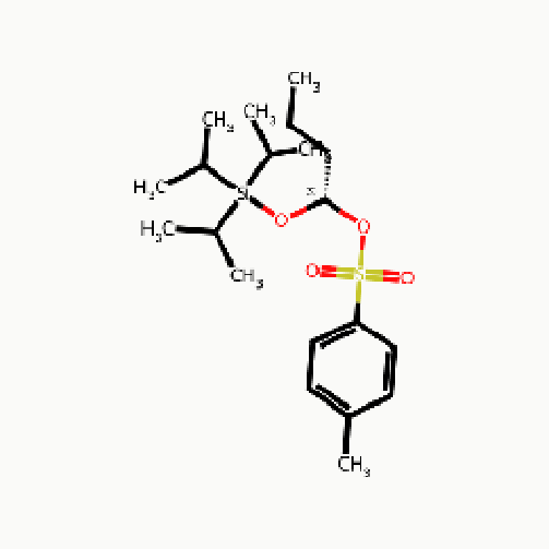 CCC[C@@H](O[Si](C(C)C)(C(C)C)C(C)C)OS(=O)(=O)c1ccc(C)cc1